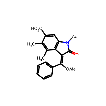 COC(=C1C(=O)N(C(C)=O)c2cc(C(=O)O)c(C)c(C)c21)c1ccccc1